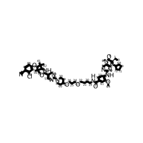 CC[C@@H]1C(=O)N(C)c2cnc(Nc3ccc(C(=O)NCCCCOCCCOC4CCN(c5ncc(C(=O)NC6C(C)(C)C(Oc7ccc(C#N)c(Cl)c7)C6(C)C)cn5)CC4)cc3OC)nc2N1C1CCCC1